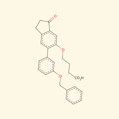 O=C(O)CCCOc1cc2c(cc1-c1cccc(OCc3ccccc3)c1)CCC2=O